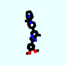 COc1ccc(-c2cn3cc(C4CCN(C5CC6CCC(C5)N6CC(C)C)CC4)cc(C)c3n2)cc1OC